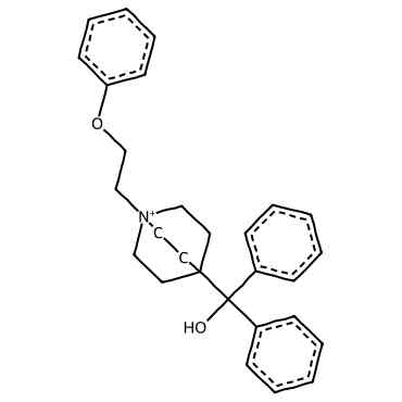 OC(c1ccccc1)(c1ccccc1)C12CC[N+](CCOc3ccccc3)(CC1)CC2